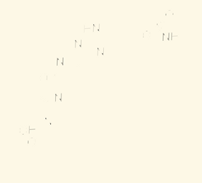 C=CC(=O)N1CCN(c2cc3cnc(Nc4ccc(CS(=O)(=O)NC)cc4)nc3n(C)c2=O)c2cccc(O)c21